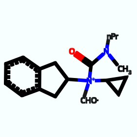 CCCN(C)C(=O)[N+]([C]=O)(C1CC1)C1Cc2ccccc2C1